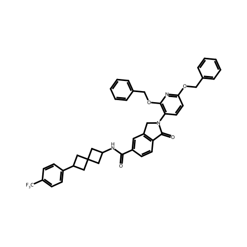 O=C(NC1CC2(C1)CC(c1ccc(C(F)(F)F)cc1)C2)c1ccc2c(c1)CN(c1ccc(OCc3ccccc3)nc1OCc1ccccc1)C2=O